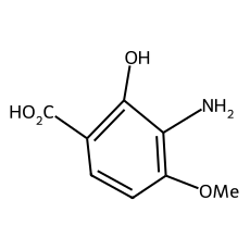 COc1ccc(C(=O)O)c(O)c1N